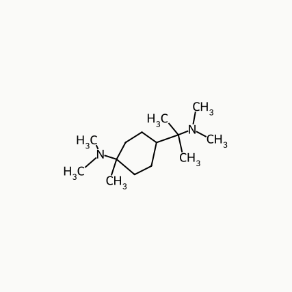 CN(C)C1(C)CCC(C(C)(C)N(C)C)CC1